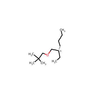 CCCC[C@H](CC)COCC(C)(C)C